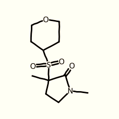 CN1CCC(C)(S(=O)(=O)C2CCOCC2)C1=O